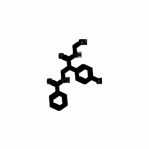 N#CCNC(=O)C(CNC(=O)c1ccccc1)c1ccc(Cl)cc1